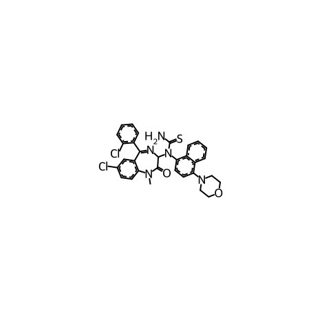 CN1C(=O)C(N(C(N)=S)c2ccc(N3CCOCC3)c3ccccc23)N=C(c2ccccc2Cl)c2cc(Cl)ccc21